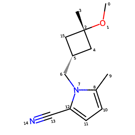 CO[C@]1(C)C[C@H](Cn2c(C)ccc2C#N)C1